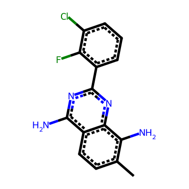 Cc1ccc2c(N)nc(-c3cccc(Cl)c3F)nc2c1N